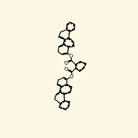 O=C(OC1=CCC=c2c1ccc1c2=CCc2ccccc2-1)c1ccccc1C(=O)OC1=CCC=c2c1ccc1c2=CCc2ccccc2-1